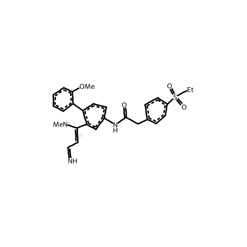 CCS(=O)(=O)c1ccc(CC(=O)Nc2ccc(-c3ccccc3OC)c(/C(=C/C=N)NC)c2)cc1